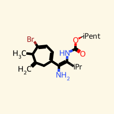 C=C1CC(/C(N)=C(\NC(=O)O[C@H](C)CCC)C(C)C)=CC=C(Br)C1C